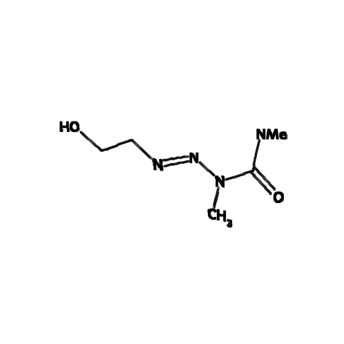 CNC(=O)N(C)N=NCCO